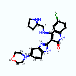 O=c1[nH]c2ccc(Cl)cc2c(NCC2CCCN2)c1-c1nc2cc(N3CCOCC3)ccc2[nH]1